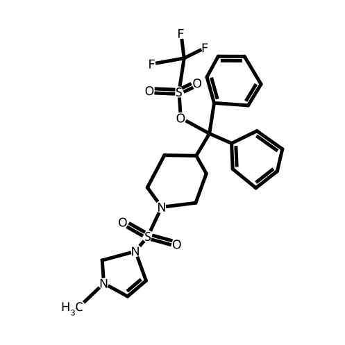 CN1C=CN(S(=O)(=O)N2CCC(C(OS(=O)(=O)C(F)(F)F)(c3ccccc3)c3ccccc3)CC2)C1